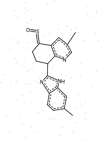 Cc1cnc2c(c1)C(=S=O)CCC2c1nc2ccc(C)cc2[nH]1